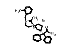 CC1=[N+](Cc2ccccc2C)CCN1[C@@H]1CC[C@H](C(C(N)=O)(c2ccccc2)c2ccccc2)C1.[Br-]